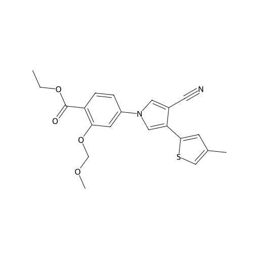 CCOC(=O)c1ccc(-n2cc(C#N)c(-c3cc(C)cs3)c2)cc1OCOC